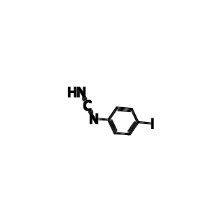 N=C=Nc1ccc(I)cc1